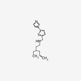 C=CCC(CC)CCNCc1ccc(-n2ccnc2)s1